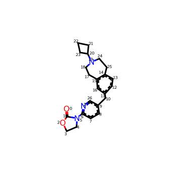 O=C1OCCN1c1ccc(Cc2ccc3c(c2)CCN(C2CCC2)CC3)cn1